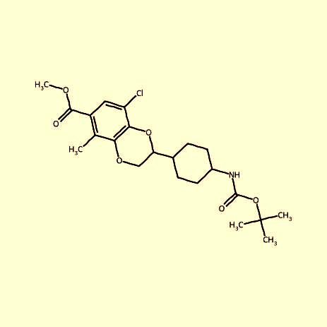 COC(=O)c1cc(Cl)c2c(c1C)OCC(C1CCC(NC(=O)OC(C)(C)C)CC1)O2